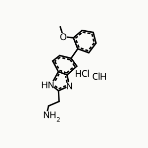 COc1ccccc1-c1ccc2[nH]c(CCN)nc2c1.Cl.Cl